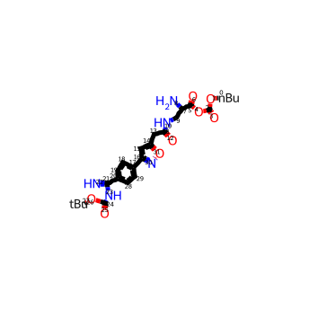 CCCCOC(=O)OC(=O)C(N)CNC(=O)Cc1cc(-c2ccc(C(=N)NC(=O)OC(C)(C)C)cc2)no1